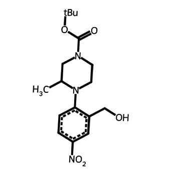 CC1CN(C(=O)OC(C)(C)C)CCN1c1ccc([N+](=O)[O-])cc1CO